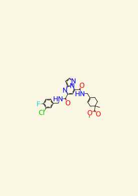 COC(=O)C1(C)CC=C(CNC(=O)c2cc(C(=O)NCc3ccc(F)c(Cl)c3)nc3ccnn23)CC1